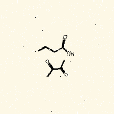 CC(=O)C(C)=O.CCCC(=O)O